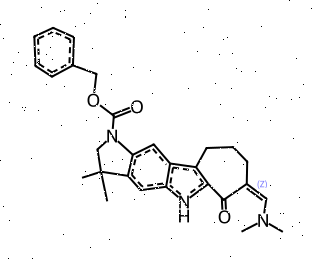 CN(C)/C=C1/CCCc2c([nH]c3cc4c(cc23)N(C(=O)OCc2ccccc2)CC4(C)C)C1=O